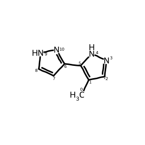 Cc1[c]n[nH]c1-c1cc[nH]n1